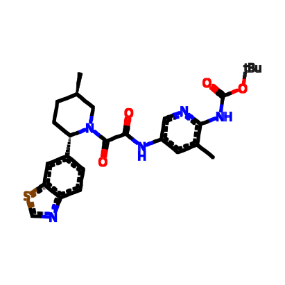 Cc1cc(NC(=O)C(=O)N2C[C@H](C)CC[C@H]2c2ccc3ncsc3c2)cnc1NC(=O)OC(C)(C)C